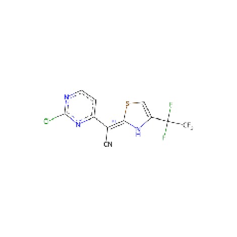 N#C/C(=C1\NC(C(F)(F)C(F)(F)F)=CS1)c1ccnc(Cl)n1